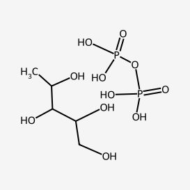 CC(O)C(O)C(O)CO.O=P(O)(O)OP(=O)(O)O